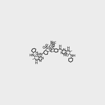 CC(Nc1ncnc(Nc2ccc(C=Cc3ccc(Nc4ncnc(NC(C)C(O)Nc5ccccc5)n4)cc3S(=O)(=O)[O-])c(S(=O)(=O)[O-])c2)n1)C(O)Nc1ccccc1.[Na+].[Na+]